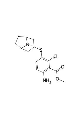 COC(=O)c1c(N)ccc(SC2CC3CCC(C2)N3C)c1Cl